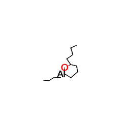 CCCCC1CC[CH2][Al]([CH2]CCC)[O]1